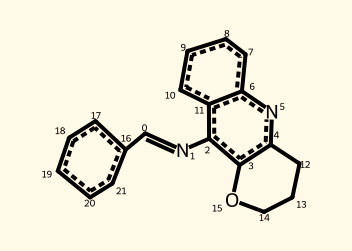 C(=N\c1c2c(nc3ccccc13)CCCO2)/c1ccccc1